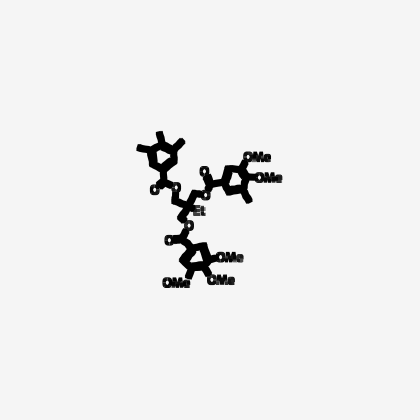 CCC(COC(=O)c1cc(C)c(C)c(C)c1)(COC(=O)c1cc(C)c(OC)c(OC)c1)COC(=O)c1cc(OC)c(OC)c(OC)c1